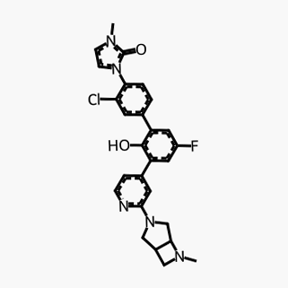 CN1CC2CN(c3cc(-c4cc(F)cc(-c5ccc(-n6ccn(C)c6=O)c(Cl)c5)c4O)ccn3)CC21